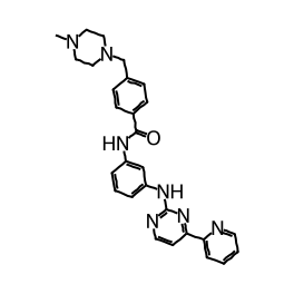 CN1CCN(Cc2ccc(C(=O)Nc3cccc(Nc4nccc(-c5ccccn5)n4)c3)cc2)CC1